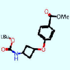 COC(=O)c1ccc(OC2CC(NC(=O)OC(C)(C)C)C2)cc1